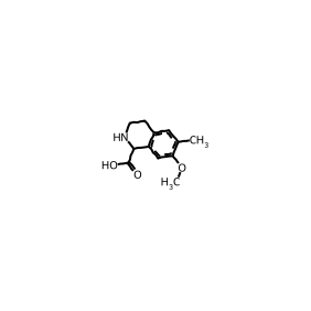 COc1cc2c(cc1C)CCNC2C(=O)O